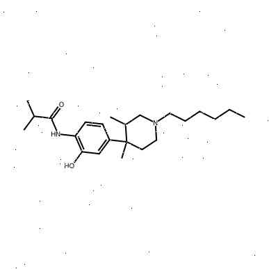 CCCCCCN1CCC(C)(c2ccc(NC(=O)C(C)C)c(O)c2)C(C)C1